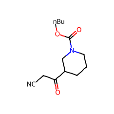 CCCCOC(=O)N1CCCC(C(=O)CC#N)C1